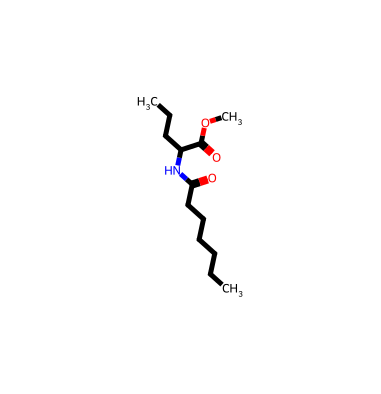 CCCCCCC(=O)NC(CCC)C(=O)OC